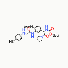 CNc1ccc(C(NC(=O)OC(C)(C)C)C(=O)N2CCCC2)cc1NC(=O)CNc1ccc(C#N)cc1